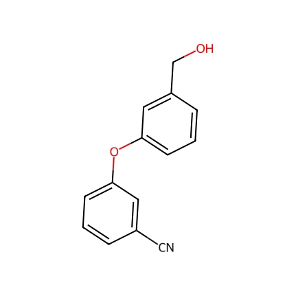 N#Cc1cccc(Oc2cccc(CO)c2)c1